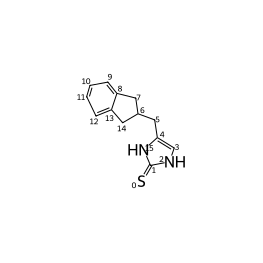 S=c1[nH]cc(CC2Cc3ccccc3C2)[nH]1